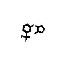 CC1CCCC1Oc1cccc(C(F)(F)F)c1